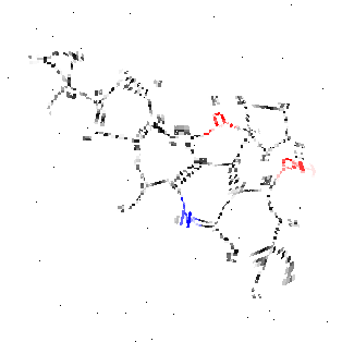 CC(C)c1nc2c(c3c1[C@@H](c1ccc(C4(C)CC4)cc1)OC31CCCC1)C(O)CC(C)(C)C2